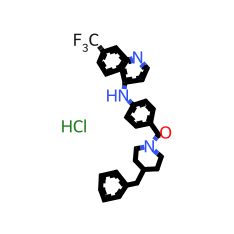 Cl.O=C(c1ccc(Nc2ccnc3cc(C(F)(F)F)ccc23)cc1)N1CCC(Cc2ccccc2)CC1